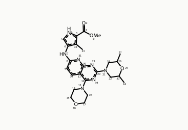 COC(=O)c1[nH]cc(Nc2ccc3c(N4CCOCC4)nc(N4CC(C)OC(C)C4)nc3n2)c1C